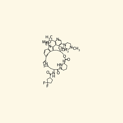 CCn1c(-c2cc(N3CCN(C)CC3)cnc2[C@H](C)OC)c2c3cc(ccc31)-c1csc(n1)C[C@H](NC(=O)[C@H]1CCC(F)(F)C1)C(=O)N1CCC[C@H](N1)C(=O)OCC(C)(C)C2